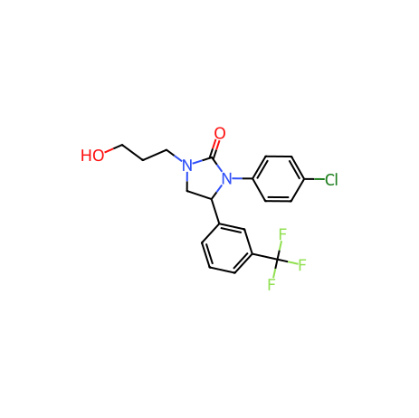 O=C1N(CCCO)CC(c2cccc(C(F)(F)F)c2)N1c1ccc(Cl)cc1